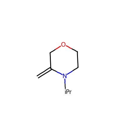 C=C1COCCN1C(C)C